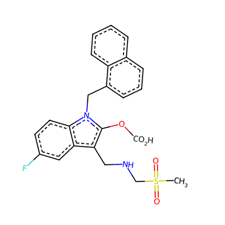 CS(=O)(=O)CNCc1c(OC(=O)O)n(Cc2cccc3ccccc23)c2ccc(F)cc12